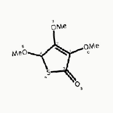 COC1=C(OC)C(OC)SC1=O